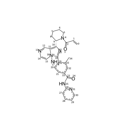 C=CC(=O)N1CCCC[C@H]1C1=C2C=NC=C[N+]2(N)C(c2ccc(C(=O)Nc3ccccn3)cc2C)=N1